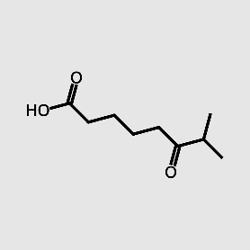 CC(C)C(=O)CCCCC(=O)O